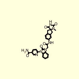 CN1C(=O)NC(=O)C12Cc1ccc(NC(=O)Cn3c(=O)n(-c4ccc(C(N)=O)cn4)c4ccccc43)cc1C2